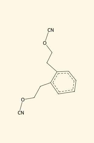 N#COCCc1ccccc1CCOC#N